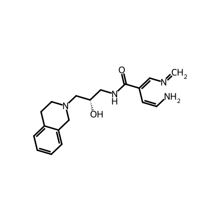 C=N/C=C(\C=C/N)C(=O)NC[C@H](O)CN1CCc2ccccc2C1